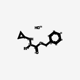 CCN(NC1CC1)C(=O)OCc1ccccc1.Cl